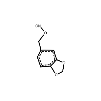 O=NOCc1ccc2c(c1)OCO2